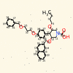 CCCCOC1CN(C(=O)O)CC(OCc2ccc3ccccc3c2)C1c1ccc(OCCCOCc2ccccc2)cc1